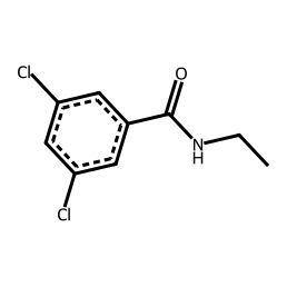 CCNC(=O)c1cc(Cl)cc(Cl)c1